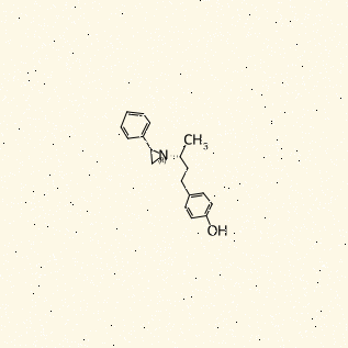 CC(CCc1ccc(O)cc1)[N@]1CC1c1ccccc1